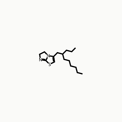 CCCCCCC(CCC)CC1=CSC2=NCCN12